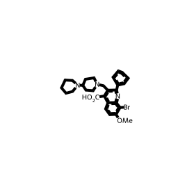 COc1ccc2c(C(=O)O)c(CN3CCC(N4CCCCC4)CC3)c(-c3ccccc3)nc2c1Br